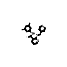 Cc1cc(C)cc(NC(=O)c2cccnc2SCc2ccncc2)c1